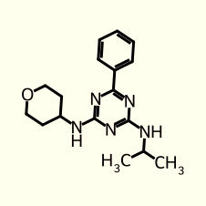 CC(C)Nc1nc(NC2CCOCC2)nc(-c2ccccc2)n1